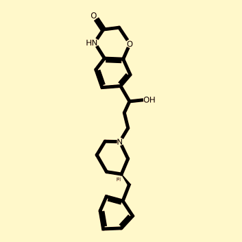 O=C1COc2cc(C(O)CCN3CCC[C@H](Cc4ccccc4)C3)ccc2N1